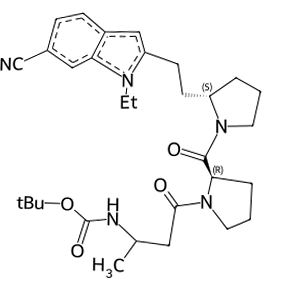 CCn1c(CC[C@@H]2CCCN2C(=O)[C@H]2CCCN2C(=O)CC(C)NC(=O)OC(C)(C)C)cc2ccc(C#N)cc21